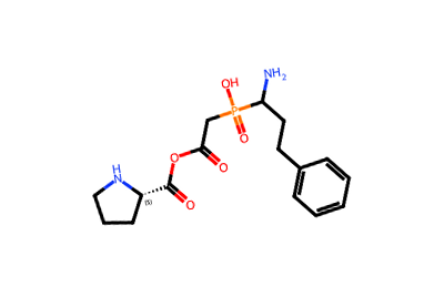 NC(CCc1ccccc1)P(=O)(O)CC(=O)OC(=O)[C@@H]1CCCN1